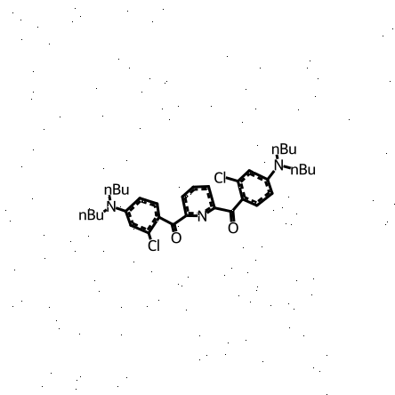 CCCCN(CCCC)c1ccc(C(=O)c2cccc(C(=O)c3ccc(N(CCCC)CCCC)cc3Cl)n2)c(Cl)c1